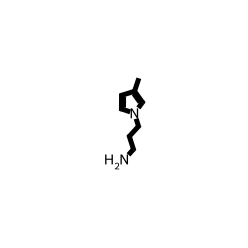 Cc1ccn(CCCN)c1